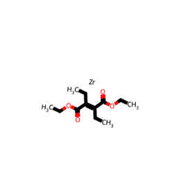 CCOC(=O)/C(CC)=C(\CC)C(=O)OCC.[Zr]